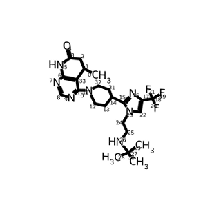 CC1CC(=O)Nc2ncnc(N3CCC(c4nc(C(F)(F)F)cn4CCNC(C)(C)C)CC3)c21